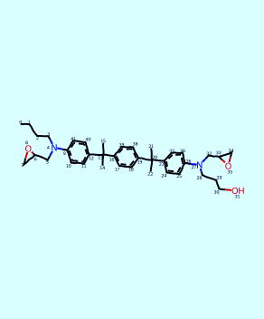 CCCCN(CC1CO1)c1ccc(C(C)(C)c2ccc(C(C)(C)c3ccc(N(CCCO)CC4CO4)cc3)cc2)cc1